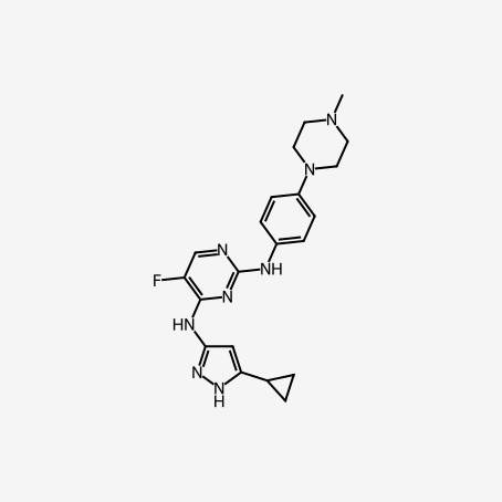 CN1CCN(c2ccc(Nc3ncc(F)c(Nc4cc(C5CC5)[nH]n4)n3)cc2)CC1